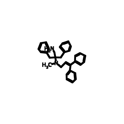 CN(CC=C(c1ccccc1)c1ccccc1)C(CN)(Cc1ccccc1)Cc1ccccc1